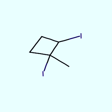 CC1(I)CCC1I